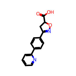 O=C(O)C1CC(c2ccc(-c3ccccn3)cc2)=NO1